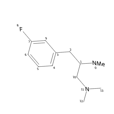 CNC(Cc1cccc(F)c1)CN(C)C